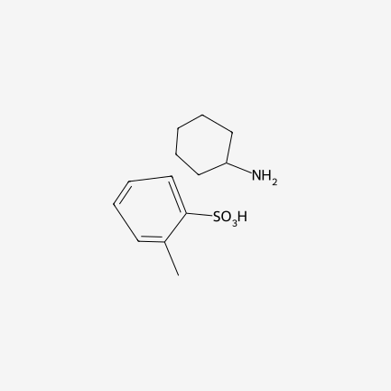 Cc1ccccc1S(=O)(=O)O.NC1CCCCC1